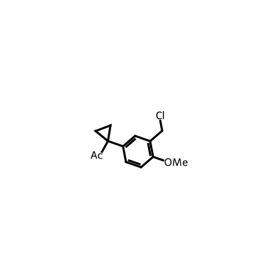 COc1ccc(C2(C(C)=O)CC2)cc1CCl